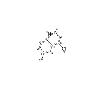 Fc1ccc2nncc(Cl)c2c1